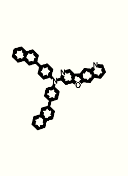 c1ccc2cc(-c3ccc(N(c4ccc(-c5ccc6ccccc6c5)cc4)c4cc5oc6cc7cccnc7cc6c5cn4)cc3)ccc2c1